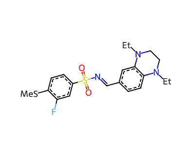 CCN1CCN(CC)c2cc(C=NS(=O)(=O)c3ccc(SC)c(F)c3)ccc21